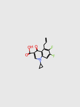 C=CCc1c(F)c(F)cc2c1c(=O)c(C(=O)O)cn2C1CC1